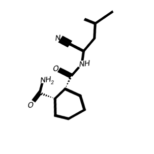 CC(C)CC(C#N)NC(=O)[C@@H]1CCCC[C@@H]1C(N)=O